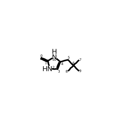 C=C1NC=C(CC(C)(C)C)N1